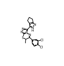 CC1Sc2nnc(-c3[nH]nc4c3CCC4)n2N=C1c1ccc(Cl)c(Cl)c1